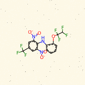 O=[N+]([O-])c1cc(C(F)(F)F)cc([N+](=O)[O-])c1Nc1ccccc1OC(F)(F)C(F)F